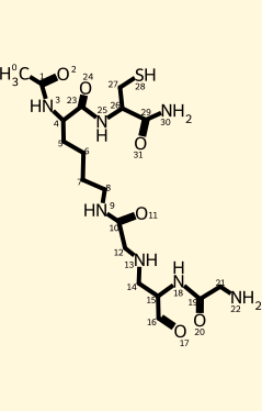 CC(=O)NC(CCCCNC(=O)CNCC(C=O)NC(=O)CN)C(=O)NC(CS)C(N)=O